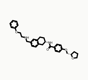 O=C(N[C@H]1CCc2cc(CNCCOc3ccccc3)ccc2C1)c1ccc(OC[C@@H]2CCCO2)cc1